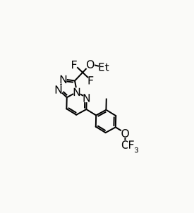 CCOC(F)(F)c1nnc2ccc(-c3ccc(OC(F)(F)F)cc3C)nn12